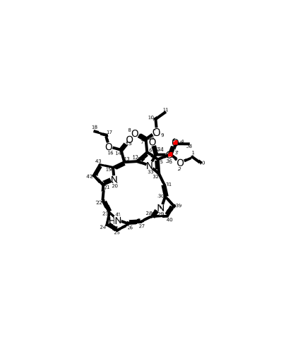 CCOC(=O)c1c(C(=O)OCC)c2c(C(=O)OCC)c3nc(cc4ccc(cc5nc(cc1n2C(=O)OCC)C=C5)[nH]4)C=C3